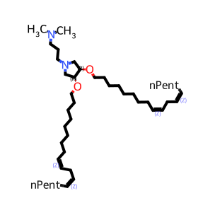 CCCCC/C=C\C/C=C\CCCCCCCCO[C@@H]1CN(CCCN(C)C)C[C@H]1OCCCCCCCC/C=C\C/C=C\CCCCC